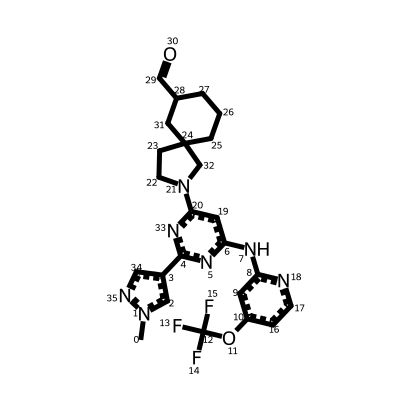 Cn1cc(-c2nc(Nc3cc(OC(F)(F)F)ccn3)cc(N3CCC4(CCCC(C=O)C4)C3)n2)cn1